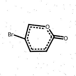 O=c1ccc(Br)co1